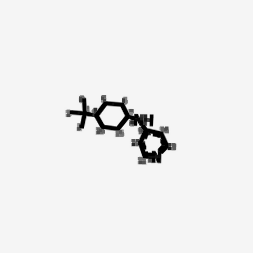 CC(C)(C)[C@H]1CC[C@@H](Nc2ccncc2)CC1